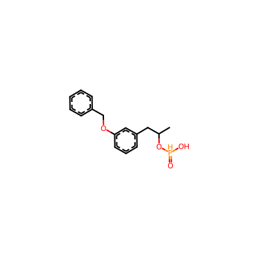 CC(Cc1cccc(OCc2ccccc2)c1)O[PH](=O)O